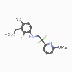 COc1cccc(C(F)(F)CNc2ccc(C#N)c(CC(=O)O)c2F)n1